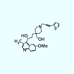 COc1ccc2ncc(C)c([C@H](O)CCC3(CO)CCN(CC#Cc4cccs4)CC3)c2c1